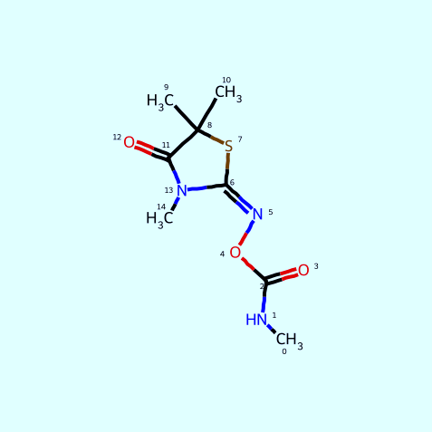 CNC(=O)ON=C1SC(C)(C)C(=O)N1C